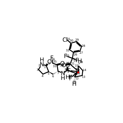 O=C1NCC[C@@H]1C[C@@H](NC(=O)[C@@H]1[C@@H]2CC[C@@H](CC2(F)F)N1C(=O)C(F)(F)c1cccc(Cl)c1)C(=O)CF